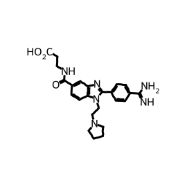 N=C(N)c1ccc(-c2nc3cc(C(=O)NCCC(=O)O)ccc3n2CCN2CCCC2)cc1